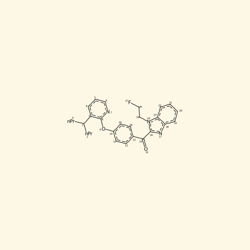 CCCC(CCC)c1cccnc1Oc1ccc(C(=O)c2nc3ccccc3n2CCF)cc1